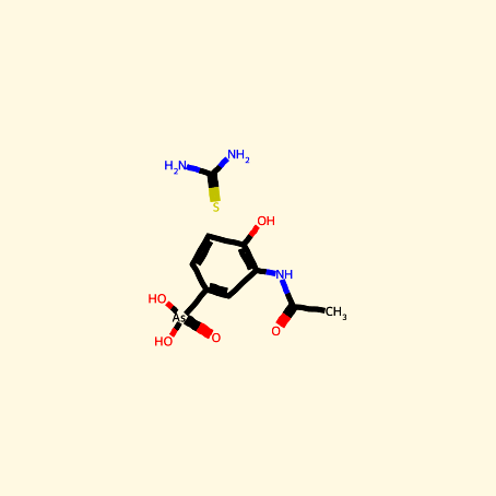 CC(=O)Nc1cc([As](=O)(O)O)ccc1O.NC(N)=S